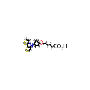 O=C(O)CCCCCOc1ccc(-n2c3ccsc3c3sccc32)cc1